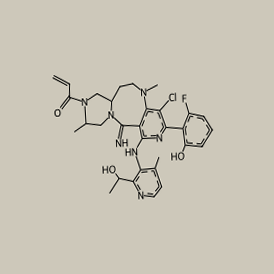 C=CC(=O)N1CC2CCN(C)c3c(Cl)c(-c4c(O)cccc4F)nc(Nc4c(C)ccnc4C(C)O)c3C(=N)N2CC1C